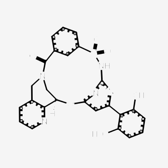 Cc1cccc(C)c1-c1cc2nc(n1)NS(=O)(=O)c1cccc(c1)C(=O)N1Cc3cccnc3[C@@H](C1)O2